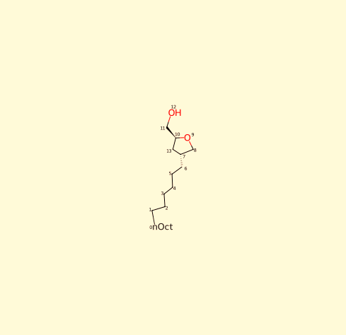 CCCCCCCCCCCCCC[C@H]1CO[C@H](CO)C1